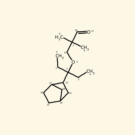 CCC(CC)(OCC(C)(C)C=O)C1CC2CCC1C2